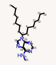 CCCCCCCC(CCCCCCC)n1cnc2c(NC)ncnc21